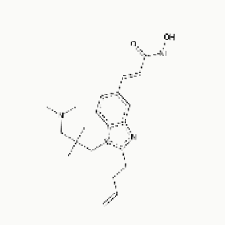 C=CCCc1nc2cc(C=CC(=O)NO)ccc2n1CC(C)(C)CN(C)C